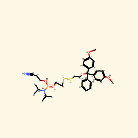 COc1ccc(C(OCCSSCCOP(OCCC#N)N(C(C)C)C(C)C)(c2ccccc2)c2ccc(OC)cc2)cc1